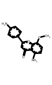 COc1ccc(N)c2c(=O)cc(-c3ccc(N)cc3)oc12